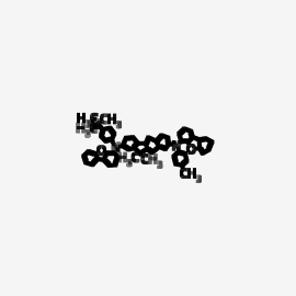 Cc1ccc(N(c2ccc3cc4c(cc3c2)C(C)(C)c2cc(N(c3ccc([Si](C)(C)C)cc3)c3cccc5c3oc3ccccc35)ccc2-4)c2cccc3c2oc2ccccc23)cc1